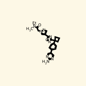 CCN(C)C(=O)Cn1cc(-c2nc(C3(c4ccc(-c5cnc(N)nc5)cc4)CCC3)no2)cn1